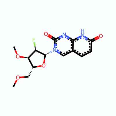 COC[C@H]1O[C@@H](n2cc3ccc(=O)[nH]c3nc2=O)[C@H](F)[C@@H]1OC